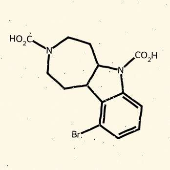 O=C(O)N1CCC2c3c(Br)cccc3N(C(=O)O)C2CC1